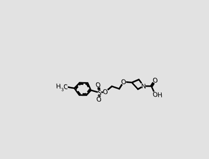 Cc1ccc(S(=O)(=O)OCCOC2CN(C(=O)O)C2)cc1